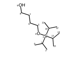 CC(C)[Si](OCCCCO)(C(C)C)C(C)C